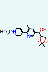 Cc1cc([C@H](O)C2COC(C)(C)O2)cnc1C1=CCN(C(=O)O)CC1